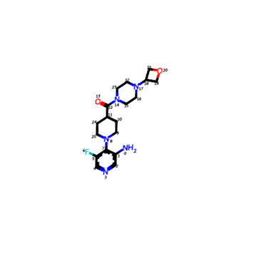 Nc1cncc(F)c1N1CCC(C(=O)N2CCN(C3COC3)CC2)CC1